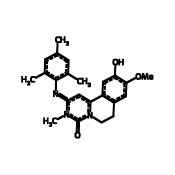 COc1cc2c(cc1O)-c1cc(=Nc3c(C)cc(C)cc3C)n(C)c(=O)n1CC2